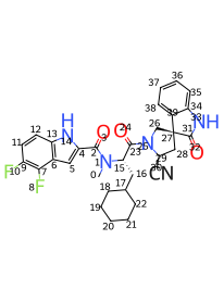 CN(C(=O)c1cc2c(F)c(F)ccc2[nH]1)[C@@H](CC1CCCCC1)C(=O)N1C[C@]2(C[C@H]1C#N)C(=O)Nc1ccccc12